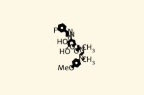 COc1ccc(N(C)CCN(C)C(=O)C[C@H]2C[C@@H](n3cc(-c4cccc(F)c4)nn3)[C@@H](O)[C@@H](CO)O2)cc1